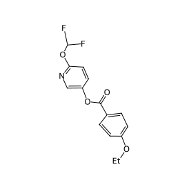 CCOc1ccc(C(=O)Oc2ccc(OC(F)F)nc2)cc1